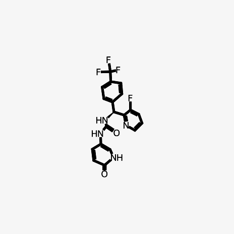 O=C(Nc1ccc(=O)[nH]c1)N[C@@H](c1ccc(C(F)(F)F)cc1)c1ncccc1F